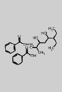 CCC(CC)C(O)CC(O)C(C)C.O=C(O)c1ccccc1.O=C(O)c1ccccc1